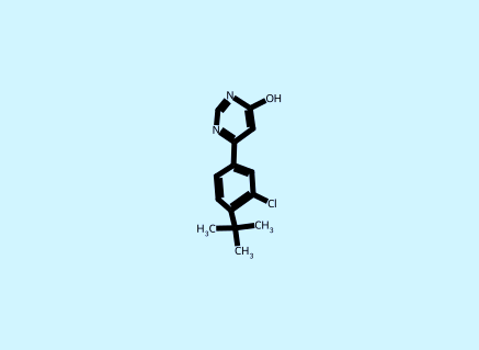 CC(C)(C)c1ccc(-c2cc(O)ncn2)cc1Cl